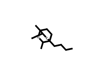 CCCCC12CCC(C)(OC1C)C(C)C2